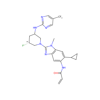 C=CC(=O)Nc1cc2nc(N3CC(Nc4ncc(C(F)(F)F)cn4)C[C@@H](F)C3)n(C)c2cc1C1CC1